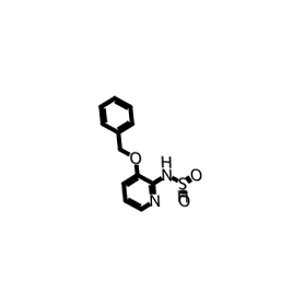 O=[SH](=O)Nc1ncccc1OCc1ccccc1